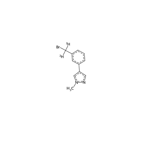 [2H]C([2H])(Br)c1cccc(-c2cnn(C)c2)c1